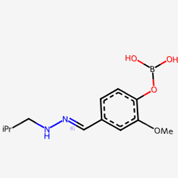 COc1cc(/C=N/NCC(C)C)ccc1OB(O)O